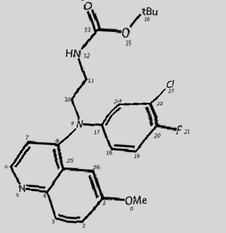 COc1ccc2nccc(N(CCNC(=O)OC(C)(C)C)c3ccc(F)c(Cl)c3)c2c1